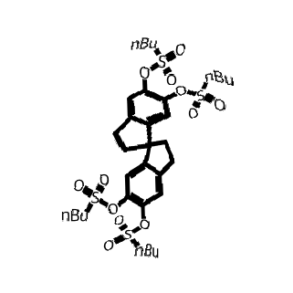 CCCCS(=O)(=O)Oc1cc2c(cc1OS(=O)(=O)CCCC)C1(CC2)CCc2cc(OS(=O)(=O)CCCC)c(OS(=O)(=O)CCCC)cc21